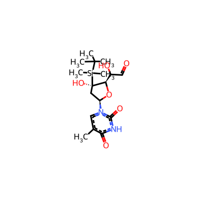 Cc1cn([C@H]2C[C@@](O)([Si](C)(C)C(C)(C)C)[C@@H](C(O)C=O)O2)c(=O)[nH]c1=O